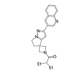 CCC(CC)C(=O)N1CC2(CCn3nc(-c4cnc5ccccc5c4)cc32)C1